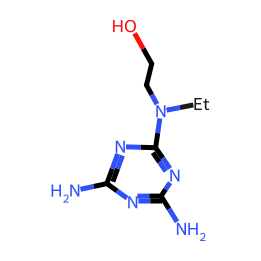 CCN(CCO)c1nc(N)nc(N)n1